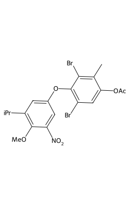 COc1c(C(C)C)cc(Oc2c(Br)cc(OC(C)=O)c(C)c2Br)cc1[N+](=O)[O-]